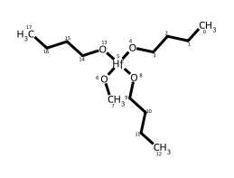 CCCC[O][Hf]([O]C)([O]CCCC)[O]CCCC